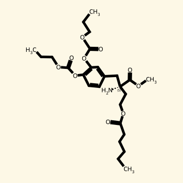 CCCCCC(=O)OCC[C@@](N)(Cc1ccc(OC(=O)OCCC)c(OC(=O)OCCC)c1)C(=O)OC